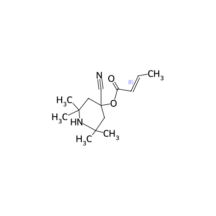 C/C=C/C(=O)OC1(C#N)CC(C)(C)NC(C)(C)C1